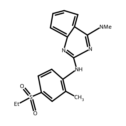 CCS(=O)(=O)c1ccc(Nc2nc(NC)c3ccccc3n2)c(C)c1